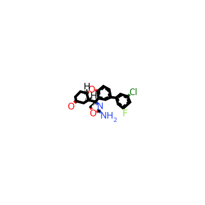 NC1=N[C@@]2(CO1)c1cc(-c3cc(F)cc(Cl)c3)ccc1O[C@@H]1CCC(=O)C[C@H]12